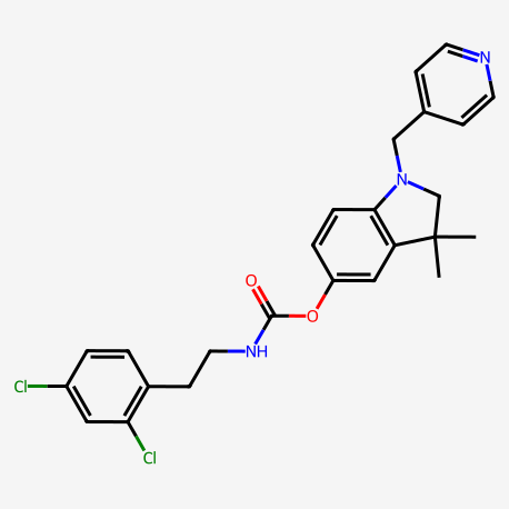 CC1(C)CN(Cc2ccncc2)c2ccc(OC(=O)NCCc3ccc(Cl)cc3Cl)cc21